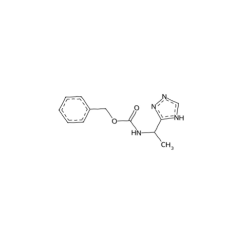 CC(NC(=O)OCc1ccccc1)c1nnc[nH]1